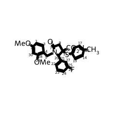 COc1ccc(CN2C(=O)CC(Sc3ccc(C)cc3)(C(=O)O)C2c2cccc(F)c2)c(OC)c1